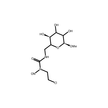 CO[C@H]1OC(CNC(=O)N(CCCl)N=O)[C@@H](O)C(O)C1O